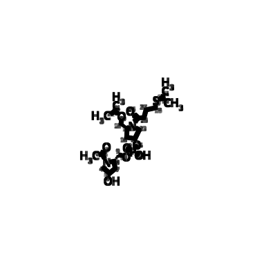 CC(=O)N1C[C@H](O)C[C@H]1COP(=O)(O)O[C@@H]1C[C@@H](COC(C)C)N(C(=O)CCCSC(C)C)C1